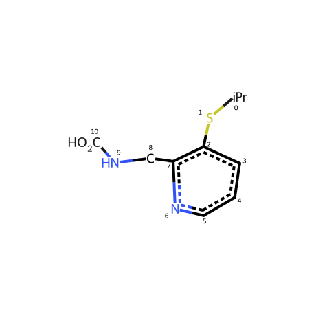 CC(C)Sc1cccnc1CNC(=O)O